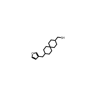 SCC1CCC2(CC1)CCC(Cc1ccoc1)CC2